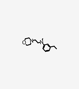 CCc1cccc(N(C)CCN2CCOCC2)c1